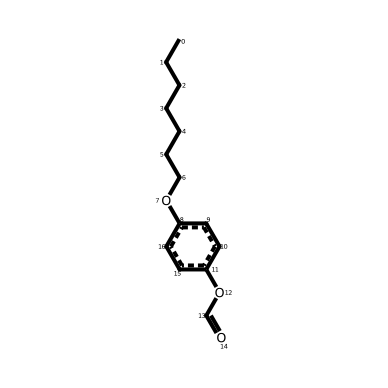 CCCCCCCOc1ccc(OC=O)cc1